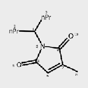 CCCC(CCC)N1C(=O)C=C(C)C1=O